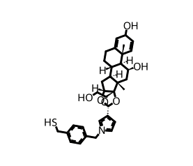 C[C@]12C=CC(O)C=C1CC[C@@H]1[C@@H]2[C@@H](O)C[C@@]2(C)[C@H]1C[C@H]1O[C@@H](c3ccn(Cc4ccc(CS)cc4)c3)O[C@]12C(=O)CO